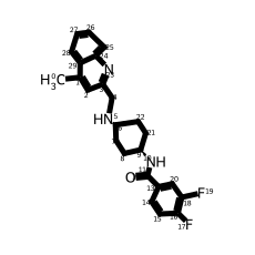 Cc1cc(CN[C@H]2CC[C@@H](NC(=O)c3ccc(F)c(F)c3)CC2)nc2ccccc12